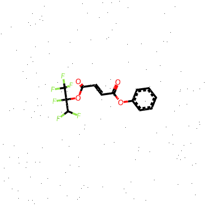 O=C(/C=C/C(=O)OC(F)(C(F)F)C(F)(F)F)Oc1ccccc1